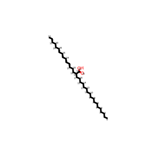 CCCCCCCCCCCCCCCCCCC(CCCCCCCCCCCCCCC)C(=O)O